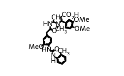 COc1cc(CC(=O)NC(C)N(C)C(CC(=O)O)c2ccc(OC)c(OC)c2)ccc1NC(=O)Nc1ccccc1C